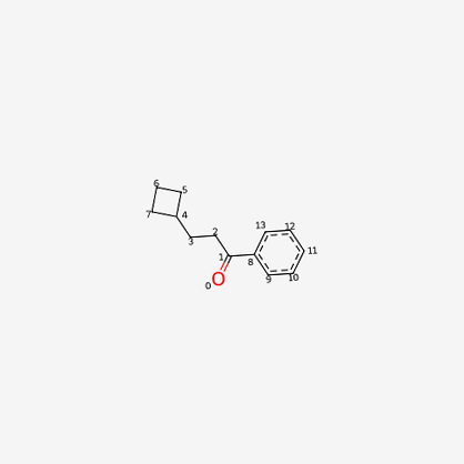 O=C(CCC1CCC1)c1ccccc1